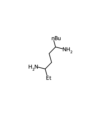 CCCCC(N)CCC(N)CC